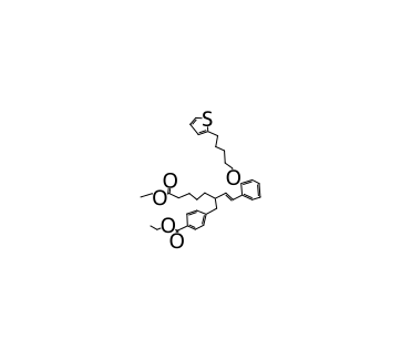 CCOC(=O)CCCCC(/C=C/c1ccccc1OCCCCCc1cccs1)Cc1ccc(C(=O)OCC)cc1